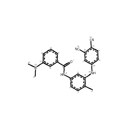 Cc1ccc(NC(=O)c2cccc(N(C)C)c2)cc1Nc1ccc(C#N)c(C#N)c1